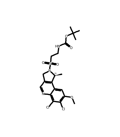 COc1cc2c3c(cnc2c(Cl)c1Cl)CN(S(=O)(=O)CCNC(=O)OC(C)(C)C)[C@H]3C